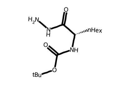 CCCCCC[C@H](NC(=O)OC(C)(C)C)C(=O)NN